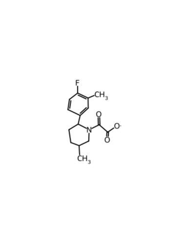 Cc1cc(C2CCC(C)CN2C(=O)C([O])=O)ccc1F